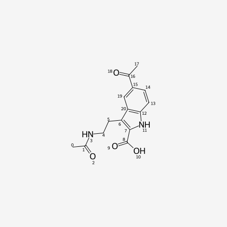 CC(=O)NCCc1c(C(=O)O)[nH]c2ccc(C(C)=O)cc12